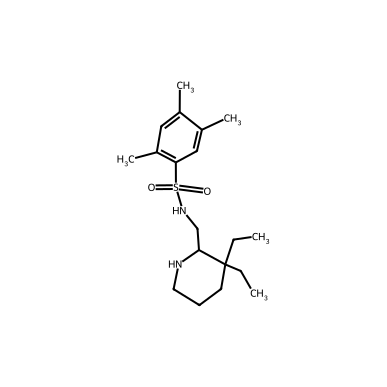 CCC1(CC)CCCNC1CNS(=O)(=O)c1cc(C)c(C)cc1C